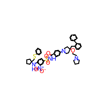 O=C(NS(=O)(=O)c1ccc(NC2(CSc3ccccc3)CCCC2)c([N+](=O)[O-])c1)c1ccc(N2CCC(Cc3ccccc3-c3ccccc3)(OCCN3CCCC3)CC2)cc1